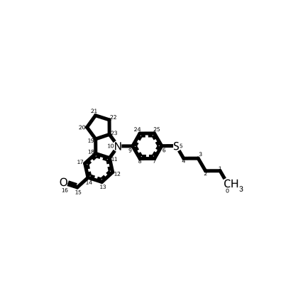 CCCCCSc1ccc(N2c3ccc(C=O)cc3C3CCCC32)cc1